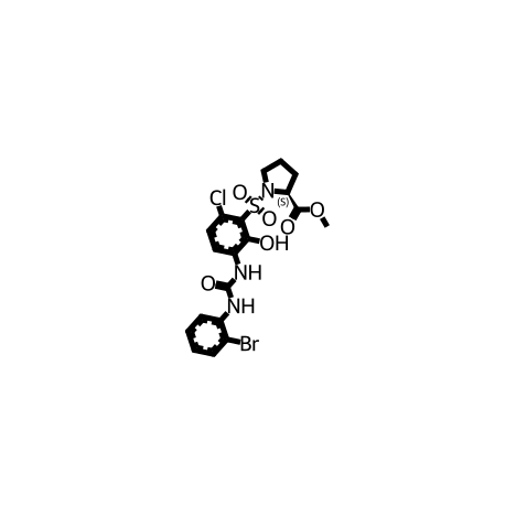 COC(=O)[C@@H]1CCCN1S(=O)(=O)c1c(Cl)ccc(NC(=O)Nc2ccccc2Br)c1O